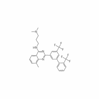 Cc1cccc2c(NCCCN(C)C)nc(-c3cc(-c4ccccc4C(F)(F)F)cc(C(F)(F)F)c3)nc12